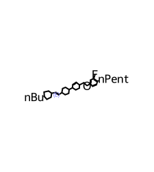 CCCCCc1ccc(OCC2C=CC(C3CCC(/C=C/C4CCC(CCCC)CC4)CC3)CC2)cc1F